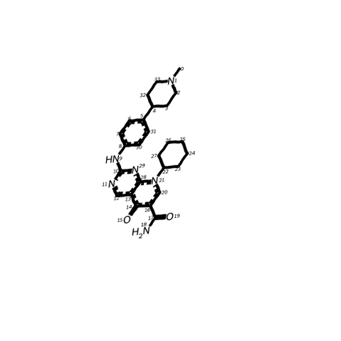 CN1CCC(c2ccc(Nc3ncc4c(=O)c(C(N)=O)cn(C5CCCCC5)c4n3)cc2)CC1